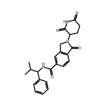 CC(C)C(NC(=O)c1ccc2c(c1)CN(C1CCC(=O)NC1=O)C2=O)c1ccccc1